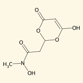 CN(O)C(=O)CC1OC(=O)C=C(O)O1